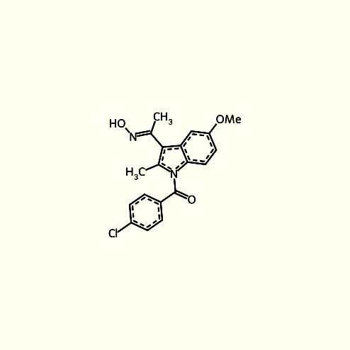 COc1ccc2c(c1)c(/C(C)=N/O)c(C)n2C(=O)c1ccc(Cl)cc1